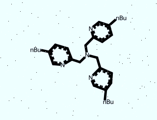 CCCCc1ccc(CN(Cc2ccc(CCCC)cn2)Cc2ccc(CCCC)cn2)nc1